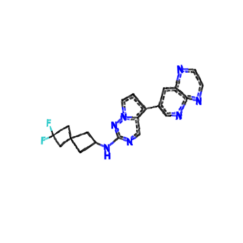 FC1(F)CC2(CC(Nc3ncc4c(-c5cnc6nccnc6c5)ccn4n3)C2)C1